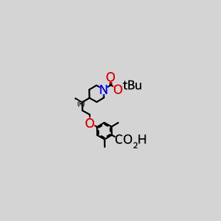 Cc1cc(OCC[C@@H](C)C2CCN(C(=O)OC(C)(C)C)CC2)cc(C)c1C(=O)O